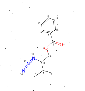 CC(C)C(COC(=O)c1ccccc1)N=[N+]=[N-]